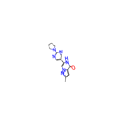 Cc1cc2c(=O)[nH]c(-c3cnc(N4CCCC4)nc3)cn2n1